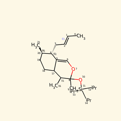 C/C=C/C[C@@H]1C2=COC(C)(O[Si](C(C)C)(C(C)C)C(C)C)C(C)C2CC[C@H]1C